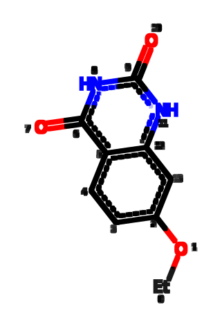 CCOc1ccc2c(=O)[nH]c(=O)[nH]c2c1